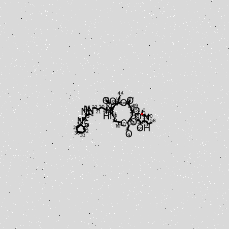 CCO[C@@H](O[C@H]1[C@@H](CC=O)C[C@@H](C)CN[C@H](C)[C@H]2N(CCCCn3cc(-c4nc5ccccc5s4)nn3)C(=O)O[C@]2(C)[C@@H](CC)OC(=O)[C@H](C)C(=O)[C@@H]1C)C(O)C(CC)N(C)C